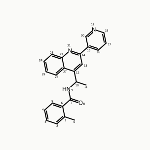 Cc1ccccc1C(=O)NC(C)c1cc(-c2cccnc2)nc2ccccc12